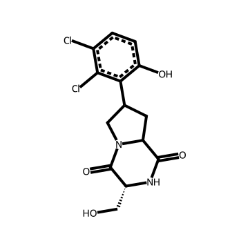 O=C1N[C@H](CO)C(=O)N2CC(c3c(O)ccc(Cl)c3Cl)CC12